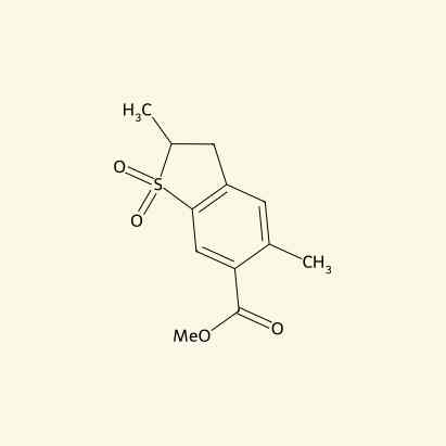 COC(=O)c1cc2c(cc1C)CC(C)S2(=O)=O